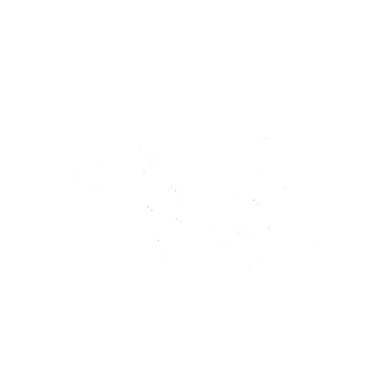 c1ccc2cc3c(cc2c1)c1cc2ccccc2cc1n3-c1ccc(-c2nc(-c3cccc4c3sc3ccccc34)nc(-n3c4ccccc4c4ccccc43)n2)c2oc3ccccc3c12